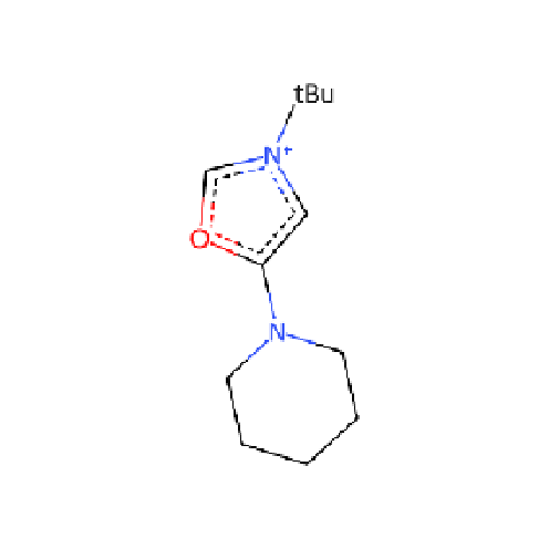 CC(C)(C)[n+]1coc(N2CCCCC2)c1